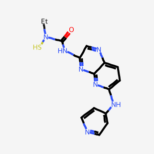 CCN(S)C(=O)Nc1cnc2ccc(Nc3ccncc3)nc2n1